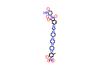 COc1cc(N2CCC(N3CCN(C4CCN(C5CN(c6ccc7c(c6)C(=O)N(C6CCC(=O)NC6=O)C7=O)C5)CC4)CC3)CC2)c(C)cc1[N+](=O)[O-]